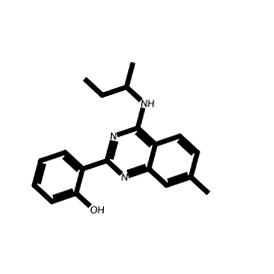 CCC(C)Nc1nc(-c2ccccc2O)nc2cc(C)ccc12